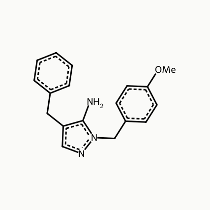 COc1ccc(Cn2ncc(Cc3ccccc3)c2N)cc1